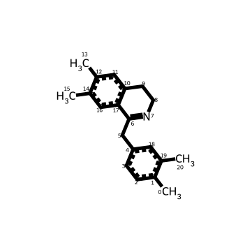 Cc1ccc(CC2=NCCc3cc(C)c(C)cc32)cc1C